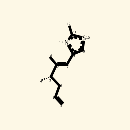 C=CC[C@H](C)/C(C)=C/c1csc(C)n1